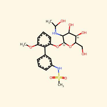 COc1cccc(O[C@@H]2OC(CO)[C@H](O)C(O)C2NC(C)O)c1-c1cccc(NS(C)(=O)=O)c1